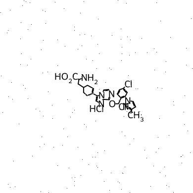 Cc1ccn(-c2cc(Cl)ccc2C(Oc2nccn3c(C4=CCC(CC(N)C(=O)O)CC4)cnc23)C(F)(F)F)n1.Cl